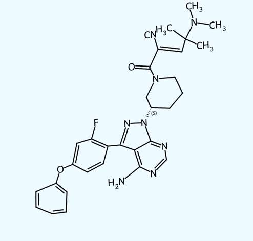 CN(C)C(C)(C)C=C(C#N)C(=O)N1CCC[C@H](n2nc(-c3ccc(Oc4ccccc4)cc3F)c3c(N)ncnc32)C1